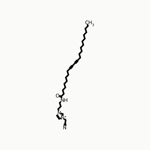 CCCCCCCCCCCCC#CC#CCCCCCCCCC(=O)NCCCn1cc[n+](CC#N)c1